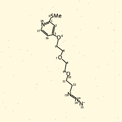 CSc1cc(OCCOCCOCCN=[N+]=[N-])ccn1